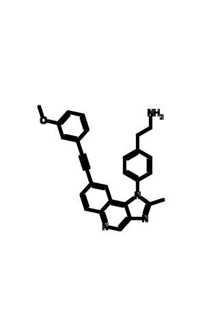 COc1cccc(C#Cc2ccc3ncc4nc(C)n(-c5ccc(CCN)cc5)c4c3c2)c1